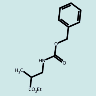 CCOC(=O)C(C)CNC(=O)OCc1ccccc1